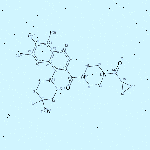 CC1(C#N)CCN(c2c(C(=O)N3CCN(C(=O)C4CC4)CC3)cnc3c(F)c(F)c(F)cc23)CC1